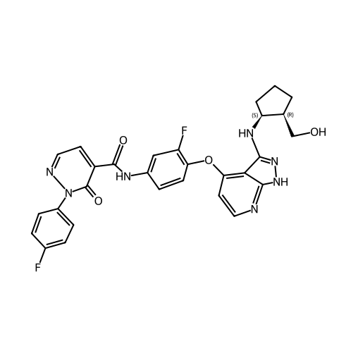 O=C(Nc1ccc(Oc2ccnc3[nH]nc(N[C@H]4CCC[C@H]4CO)c23)c(F)c1)c1ccnn(-c2ccc(F)cc2)c1=O